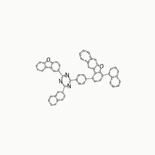 c1ccc2cc(-c3nc(-c4ccc(-c5ccc(-c6cccc7ccccc67)c6oc7cc8ccccc8cc7c56)cc4)nc(-c4ccc5oc6ccccc6c5c4)n3)ccc2c1